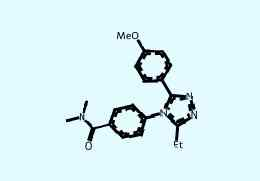 CCc1nnc(-c2ccc(OC)cc2)n1-c1ccc(C(=O)N(C)C)cc1